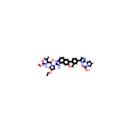 CCO[C@H]1C[C@@H](c2nc3ccc4cc5c(cc4c3[nH]2)OCc2cc(-c3cnc([C@@H]4CCCN4C(=O)O)[nH]3)ccc2-5)N(C(=O)C(NC(=O)OC)C(C)C)C1